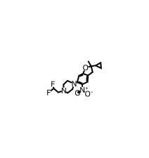 CC1(C2CC2)Cc2cc([N+](=O)[O-])c(N3CCN(CC(F)F)CC3)cc2O1